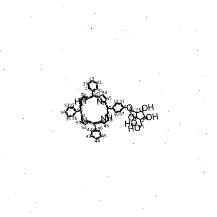 OCC1[C@@H](O)C(O)C2[C@@H](Oc3ccc(-c4c5nc(c(-c6ccccc6)c6ccc([nH]6)c(-c6ccccc6)c6nc(c(-c7ccccc7)c7ccc4[nH]7)C=C6)C=C5)cc3)OC21O